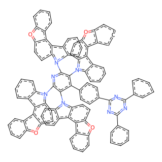 c1ccc(-c2nc(-c3ccccc3)nc(-c3ccc(-c4c(-n5c6ccccc6c6c7c(ccc65)oc5ccccc57)c(-n5c6ccccc6c6c7c(ccc65)oc5ccccc57)nc(-n5c6ccccc6c6c7c(ccc65)oc5ccccc57)c4-n4c5ccccc5c5c6c(ccc54)oc4ccccc46)cc3)n2)cc1